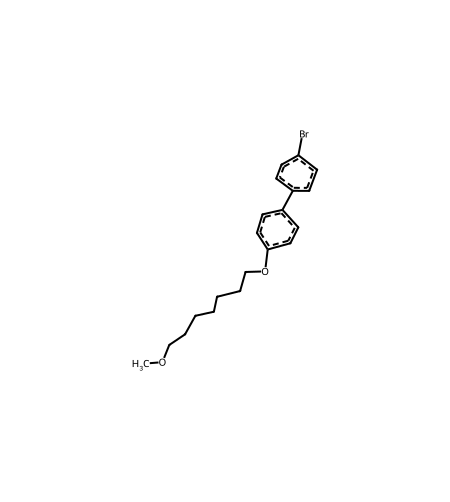 COCCCCCCCOc1ccc(-c2ccc(Br)cc2)cc1